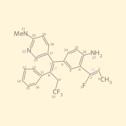 C/C=C(\F)c1cc(/C(=C(\CC(F)(F)F)c2ccccc2)c2ccc(NC)nc2)ccc1N